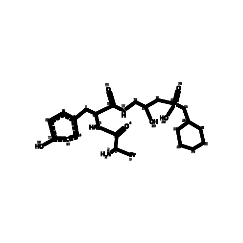 CC(C)C(N)C(=O)[AsH]C(Cc1ccc(O)cc1)C(=O)NCC(O)CP(=O)(O)CC1CCCCC1